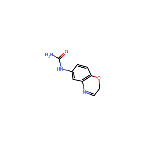 NC(=O)Nc1ccc2c(c1)N=CCO2